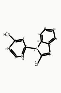 Nc1cc(-n2c(Cl)nc3ccccc32)ncn1